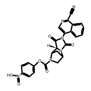 N#Cc1ncc(N2C(=O)[C@H]3C4CC(CN4C(=O)Oc4ccc([N+](=O)O)cc4)N3C2=O)c2ccccc12